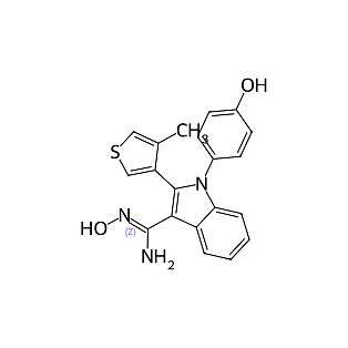 Cc1cscc1-c1c(/C(N)=N/O)c2ccccc2n1-c1ccc(O)cc1